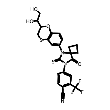 N#Cc1ccc(N2C(=O)C3(CCC3)N(c3ccc4c(c3)SCC(C(O)CO)O4)C2=S)cc1C(F)(F)F